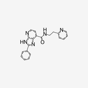 O=C(NCCc1ccccn1)c1ccnc2[nH]c(-c3ccccc3)nc12